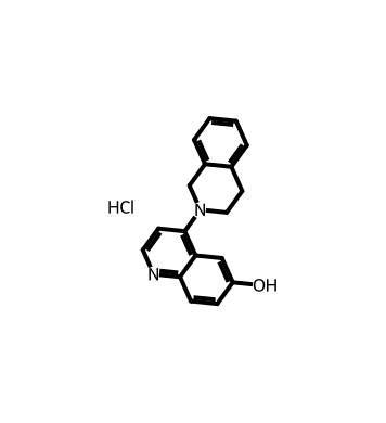 Cl.Oc1ccc2nccc(N3CCc4ccccc4C3)c2c1